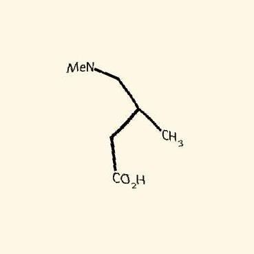 CNCC(C)CC(=O)O